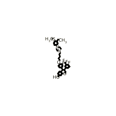 CCc1cc(N2CCN(CCCCCOc3ccc(C4c5ccc(O)cc5OCC4c4ccc(F)c(C(F)(F)F)c4)cc3)CC2)ccc1SC